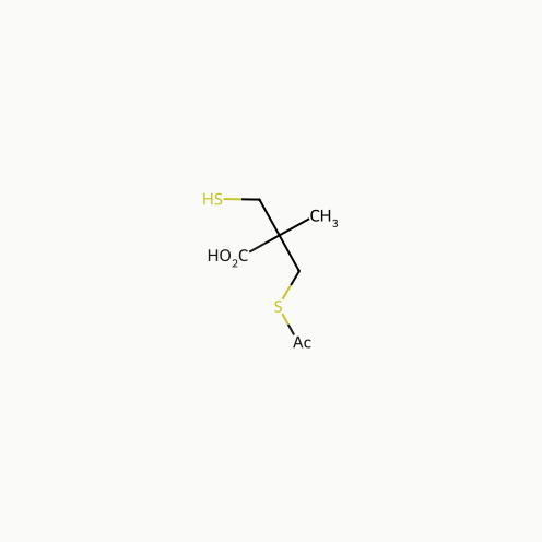 CC(=O)SCC(C)(CS)C(=O)O